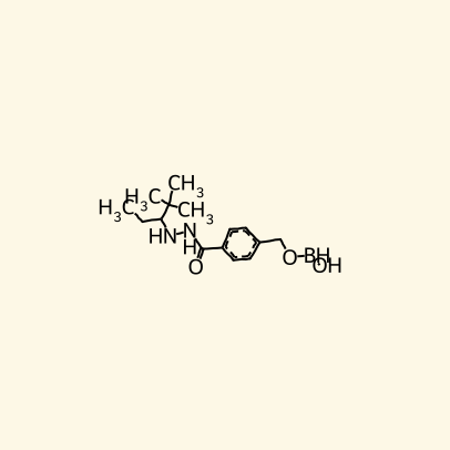 CCC(NNC(=O)c1ccc(COBO)cc1)C(C)(C)C